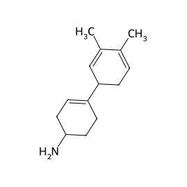 CC1=CCC(C2=CCC(N)CC2)C=C1C